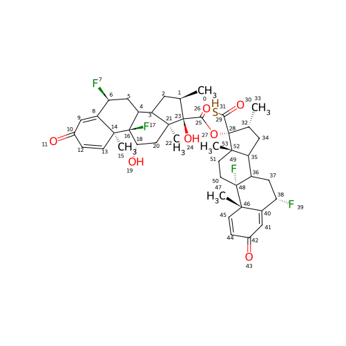 C[C@@H]1CC2C3C[C@H](F)C4=CC(=O)C=C[C@]4(C)[C@@]3(F)[C@@H](O)C[C@]2(C)[C@@]1(O)C(=O)O[C@]1(C(=O)S)[C@H](C)CC2C3C[C@H](F)C4=CC(=O)C=C[C@]4(C)[C@@]3(F)CC[C@@]21C